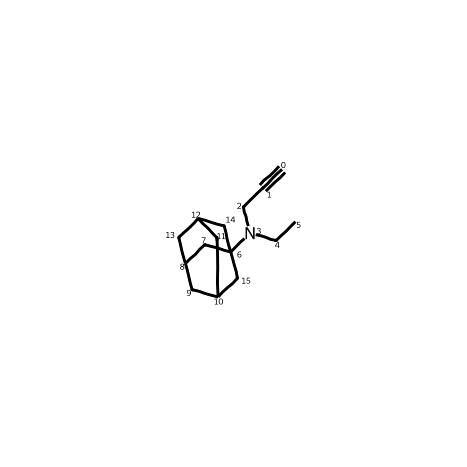 C#CCN(CC)C12CC3CC(CC(C3)C1)C2